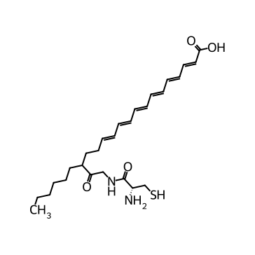 CCCCCCC(CCC=CC=CC=CC=CC=CC=CC(=O)O)C(=O)CNC(=O)[C@@H](N)CS